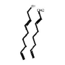 C=CCCCC=CC=O.C=CCCCC=CCO